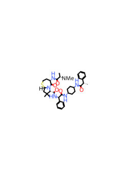 CN[C@@H](C)C(=O)N[C@H]1CCS[C@H]2CC(C)(C)[C@@H](C(=O)N[C@@H](C(=O)N[C@H]3CC[C@H](NC(=O)[C@@H](C)c4ccccc4)CC3)c3ccccc3)N2C1=O